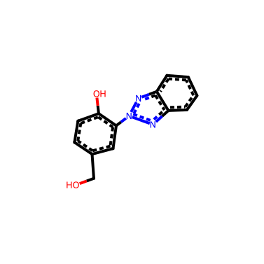 OCc1ccc(O)c(-n2nc3ccccc3n2)c1